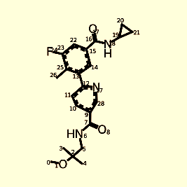 COC(C)(C)CNC(=O)c1ccc(-c2cc(C(=O)NC3CC3)cc(F)c2C)nc1